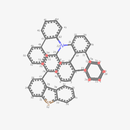 c1ccc(-c2ccccc2-c2c(-c3ccccc3)cccc2N(c2ccc(-c3cccc4sc5ccccc5c34)cc2)c2ccccc2-c2ccccc2)cc1